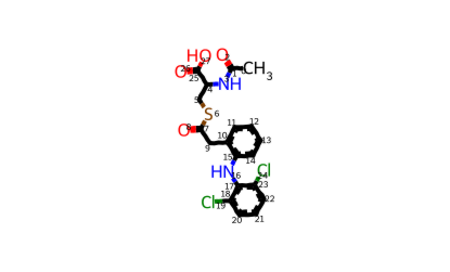 CC(=O)NC(CSC(=O)Cc1ccccc1Nc1c(Cl)cccc1Cl)C(=O)O